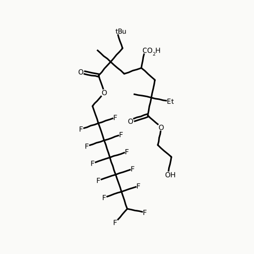 CCC(C)(CC(CC(C)(CC(C)(C)C)C(=O)OCC(F)(F)C(F)(F)C(F)(F)C(F)(F)C(F)(F)C(F)F)C(=O)O)C(=O)OCCO